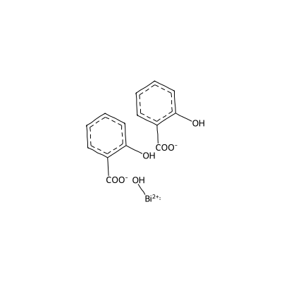 O=C([O-])c1ccccc1O.O=C([O-])c1ccccc1O.[OH][Bi+2]